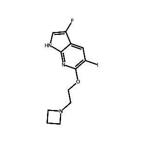 Fc1c[nH]c2nc(OCCN3CCC3)c(I)cc12